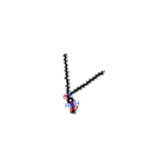 CCCCCCCCCCCCCCCCCCCCCCN(CCCCCCCCCCCCCCCCCCCCCC)C(=O)c1ccc(NNC(=O)OC(C)(C)C)cc1